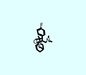 CN(C)CC(C(=O)N1C2CC1CN(C(C)(C)C)C2)c1ccc(F)cc1